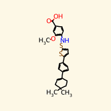 COc1cc(C(=O)O)ccc1NSc1ccc(-c2ccc(C3=CCC(C)(C)CC3)cc2)s1